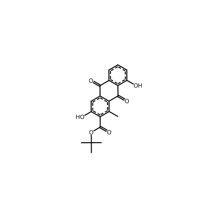 Cc1c(C(=O)OC(C)(C)C)c(O)cc2c1C(=O)c1c(O)cccc1C2=O